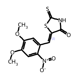 COc1cc(/C=C2\SC(=S)NC2=O)c([N+](=O)[O-])cc1OC